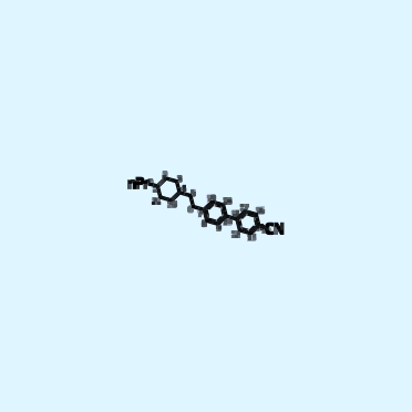 CCCC1CCC(CCc2ccc(-c3ccc(C#N)cc3)cc2)CC1